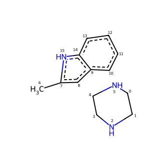 C1CNCCN1.Cc1cc2ccccc2[nH]1